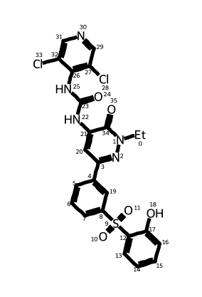 CCn1nc(-c2cccc(S(=O)(=O)c3ccccc3O)c2)cc(NC(=O)Nc2c(Cl)cncc2Cl)c1=O